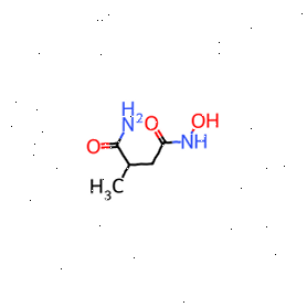 CC(CC(=O)NO)C(N)=O